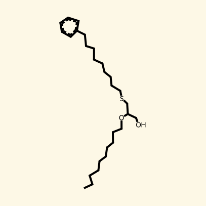 CCCCCCCCCCOC(CO)CSCCCCCCCCCc1ccccc1